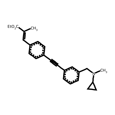 CCOC(=O)C(C)=Cc1ccc(C#Cc2cccc(CN(C)C3CC3)c2)cc1